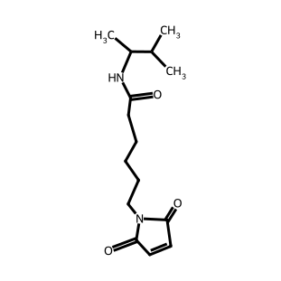 CC(C)C(C)NC(=O)CCCCCN1C(=O)C=CC1=O